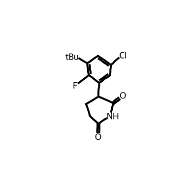 CC(C)(C)c1cc(Cl)cc(C2CCC(=O)NC2=O)c1F